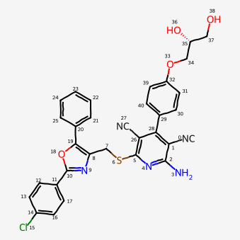 [C-]#[N+]c1c(N)nc(SCc2nc(-c3ccc(Cl)cc3)oc2-c2ccccc2)c(C#N)c1-c1ccc(OC[C@H](O)CO)cc1